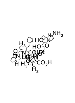 CC1(C)[C@H](C(=O)O)N2C(=O)C[C@H]2S1(=O)=O.CCOC(=O)[C@H](CCc1ccccc1)N[C@@H](C)C(=O)N1[C@H](C(=O)O)C[C@@H]2CCC[C@@H]21.Nc1ccn([C@@H]2O[C@H](CO)[C@@H](O)[C@@H]2O)c(=O)n1